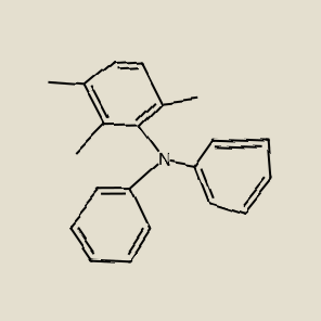 Cc1ccc(C)c(N(c2ccccc2)c2ccccc2)c1C